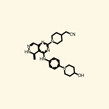 C=C1NN=Cc2nc(N3CCC(CC#N)CC3)nc(Nc3ccc(N4CCC(O)CC4)cc3)c21